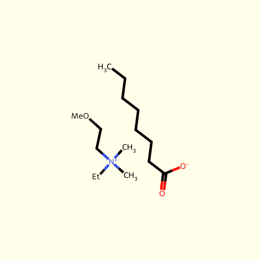 CCCCCCCC(=O)[O-].CC[N+](C)(C)CCOC